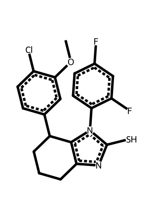 COc1cc(C2CCCc3nc(S)n(-c4ccc(F)cc4F)c32)ccc1Cl